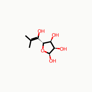 CC(C)=C(O)[C@H]1O[C@H](O)[C@H](O)[C@@H]1O